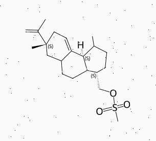 C=C(C)[C@]1(C)CC=C2C(CCC3[C@@H](COS(C)(=O)=O)CCC(C)[C@H]23)C1